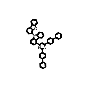 c1ccc(-c2ccc(-c3cc(-c4cccc5c4c4ccccc4n5-c4cccc5c4oc4ccccc45)nc(-c4ccc(-c5ccccc5)cc4)n3)cc2)cc1